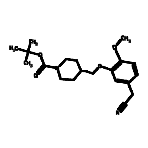 COc1ccc(CC#N)cc1OCC1CCN(C(=O)OC(C)(C)C)CC1